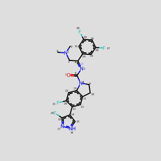 CN(C)C/C(=N\C(=O)N1CCc2cc(-c3c[nH]nc3F)c(F)cc21)c1cc(F)cc(F)c1